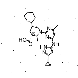 Cc1cc(Nc2cc(C3CC3)n[nH]2)nc(N2CC(C3CCCCC3)C[C@@H](C(=O)O)C2C)n1